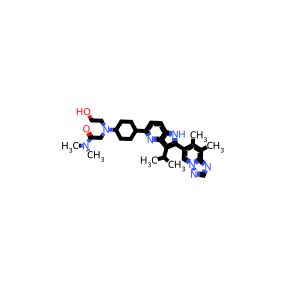 Cc1c(-c2[nH]c3ccc(C4CCC(N(CCO)CC(=O)N(C)C)CC4)nc3c2C(C)C)cn2ncnc2c1C